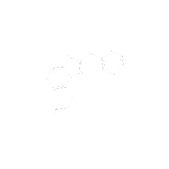 C[C@@H](Cc1nccc2nc(Nc3ccccc3)nn12)C(=O)O